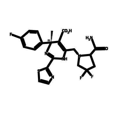 C[C@@]1(c2ccc(F)cc2)N=C(c2nccs2)NC(CN2CC(F)(F)CC2C(N)=O)=C1C(=O)O